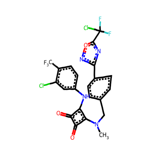 CN(Cc1ccc(-c2noc(C(F)(F)Cl)n2)cc1)c1c(Nc2ccc(C(F)(F)F)c(Cl)c2)c(=O)c1=O